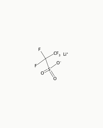 O=S(=O)([O-])C(F)(F)C(F)(F)F.[Li+]